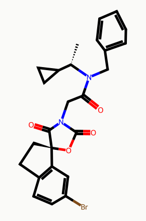 C[C@@H](C1CC1)N(Cc1ccccc1)C(=O)CN1C(=O)O[C@@]2(CCc3ccc(Br)cc32)C1=O